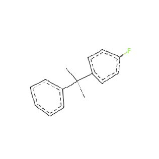 CC(C)(c1ccccc1)c1ccc(F)cc1